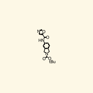 CC(C)(C)OC(=O)N1Cc2ccc(NC(=O)c3cnco3)cc2C1